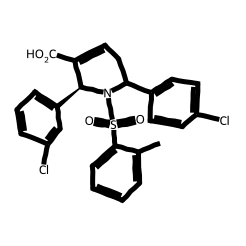 Cc1ccccc1S(=O)(=O)N1C(c2ccc(Cl)cc2)CC=C(C(=O)O)[C@@H]1c1cccc(Cl)c1